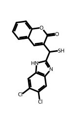 O=c1oc2ccccc2cc1C(S)c1nc2cc(Cl)c(Cl)cc2[nH]1